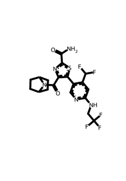 NC(=O)c1nc(C(=O)N2C3CCC2CC3)c(-c2cnc(NCC(F)(F)F)cc2C(F)F)s1